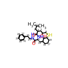 CC(C)CC(CC(O)CS)C(=O)N[C@@H](CC1CCCCC1)C(=O)NCCc1ccccc1